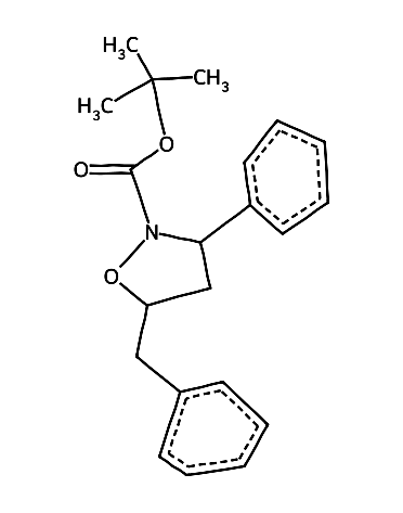 CC(C)(C)OC(=O)N1OC(Cc2ccccc2)CC1c1ccccc1